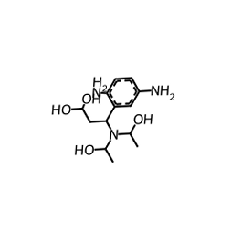 CC(O)N(C(C)O)C(CC(O)O)c1cc(N)ccc1N